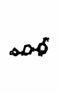 CC(C)c1ccnc(N2CCN(C3COC3)CC2)c1